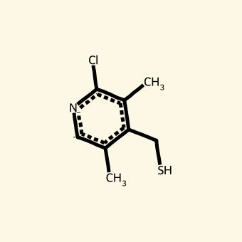 Cc1[c]nc(Cl)c(C)c1CS